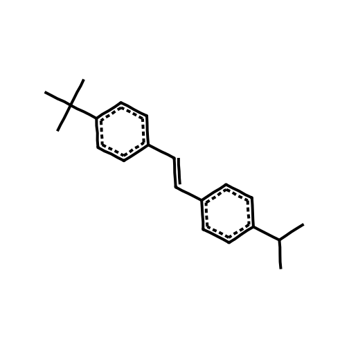 CC(C)c1ccc(/C=C/c2ccc(C(C)(C)C)cc2)cc1